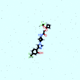 O=C(COC1(OC(F)(F)F)CCC1)NC12CC(n3cnc(-c4ccc(C(F)(F)F)cc4O)c3)(C1)C2